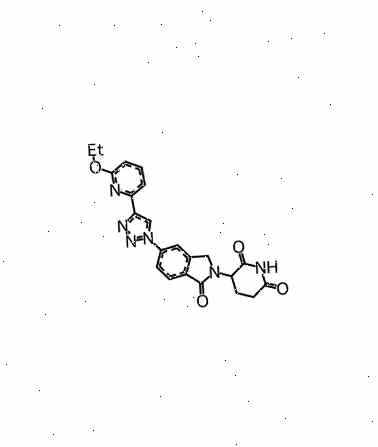 CCOc1cccc(-c2cn(-c3ccc4c(c3)CN(C3CCC(=O)NC3=O)C4=O)nn2)n1